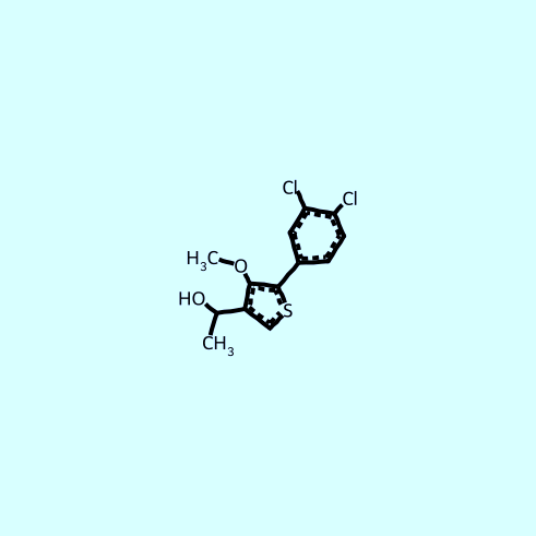 COc1c(C(C)O)csc1-c1ccc(Cl)c(Cl)c1